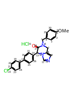 COc1ccc(CN2Cc3cncn3C(c3ccc(-c4ccc(Cl)cc4)cc3)C2=O)cc1.Cl